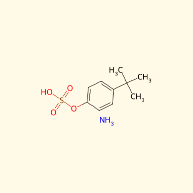 CC(C)(C)c1ccc(OS(=O)(=O)O)cc1.N